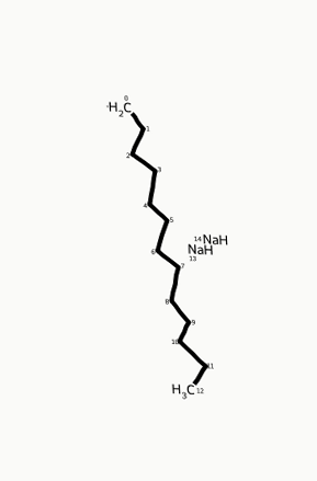 [CH2]CCCCCCCCCCCC.[NaH].[NaH]